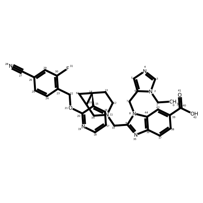 CCn1cncc1Cn1c(CN2CC[C@@]3(c4cccnc4OCc4ccc(C#N)cc4F)CC3C2)nc2ccc(C(=O)O)cc21